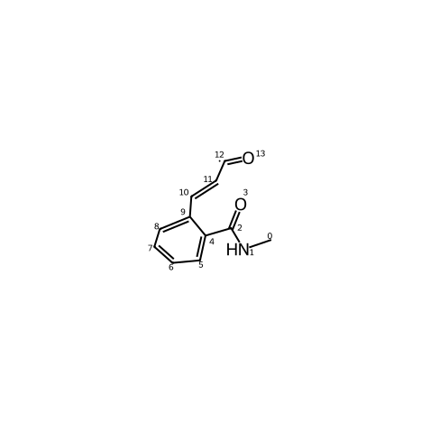 CNC(=O)c1ccccc1/C=C/[C]=O